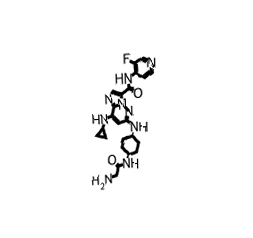 NCC(=O)N[C@H]1CC[C@H](Nc2cc(NC3CC3)c3ncc(C(=O)Nc4ccncc4F)n3n2)CC1